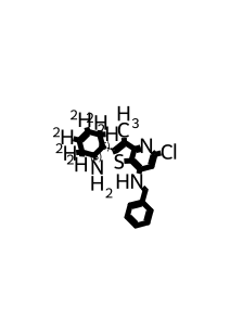 [2H]C1=C([2H])C([2H])([2H])[C@H](c2sc3c(NCc4ccccc4)cc(Cl)nc3c2C)[C@@H](N)C1([2H])[2H]